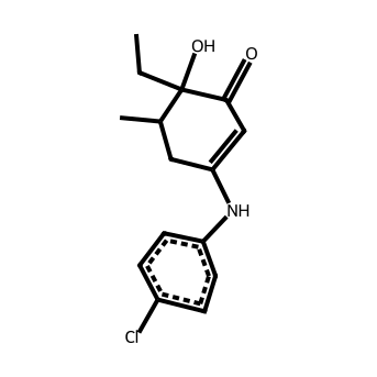 CCC1(O)C(=O)C=C(Nc2ccc(Cl)cc2)CC1C